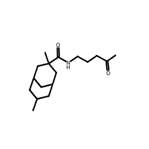 CC(=O)CCCNC(=O)C1(C)CC2CC(C)CC(C2)C1